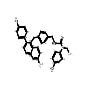 CCN(C(=O)NCc1ccc(Cc2c(-c3ccc(O)cc3)ccc3cc(O)ccc23)cc1)c1ccc(O)cc1